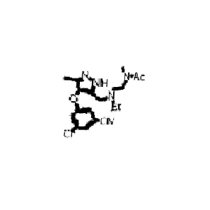 CCN(CCN(C)C(C)=O)Cc1[nH]nc(C)c1Oc1cc(Cl)cc(C#N)c1